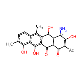 CC(=O)C1=C(O)[C@H](N)C2C(C1=O)C(=O)c1c(c(C)c3ccc(C)c(O)c3c1O)C2O